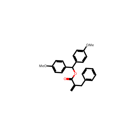 C=C(Cc1ccccc1)C(=O)OC(c1ccc(OC)cc1)c1ccc(OC)cc1